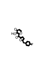 O=C(c1ccc(Cc2ccc(F)cc2)o1)c1occc(=O)c1O